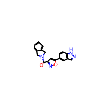 O=C(c1cc(-c2ccc3[nH]ncc3c2)on1)N1Cc2ccccc2C1